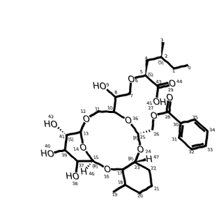 CC[C@H](C)C[C@H](OCC(O)C1COC2O[C@@H](OC3C(C)CCC[C@H]3O[C@@H](COC(=O)c3ccccc3)O1)C(O)C(O)[C@@H]2O)C(=O)O